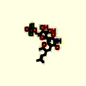 CC(=O)C(CC=C(C)C)Cc1cn([C@@H]2O[C@H](COP(=O)(Cl)Cl)C(O)[C@@H]2O)c(=O)[nH]c1=O